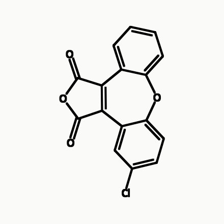 O=c1oc(=O)c2c3cc(Cl)ccc3oc3ccccc3c1=2